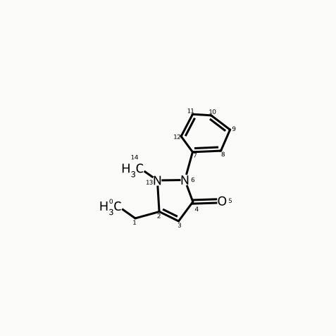 CCc1cc(=O)n(-c2ccccc2)n1C